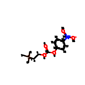 CS(C)(C)CCOC(=O)Oc1ccc([N+](=O)[O-])cc1